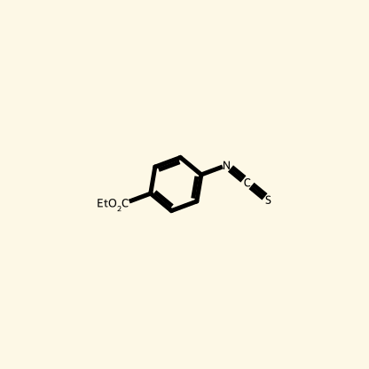 CCOC(=O)c1ccc(N=C=S)cc1